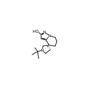 CC(C)(C)N1CC[C@]2(CCCn3nc(O)cc32)C1